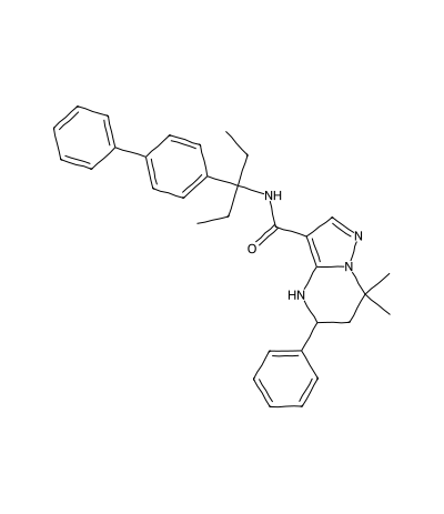 CCC(CC)(NC(=O)c1cnn2c1NC(c1ccccc1)CC2(C)C)c1ccc(-c2ccccc2)cc1